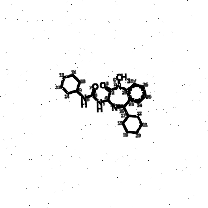 CN1C(=O)C(NC(=O)NC2CCCCC2)N=C(C2CCCCC2)c2ccccc21